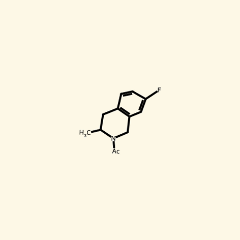 CC(=O)N1Cc2cc(F)ccc2CC1C